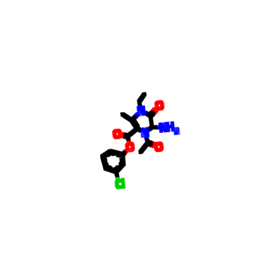 CCN1C(=O)C(N)N(C(C)=O)C(C(=O)Oc2cccc(Cl)c2)=C1C